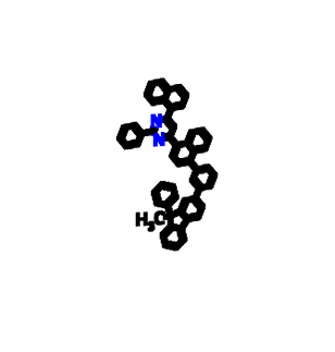 CC1(c2ccccc2)c2ccccc2-c2ccc(-c3cccc(-c4ccc(-c5cc(-c6cccc7ccccc67)nc(-c6ccccc6)n5)c5ccccc45)c3)cc21